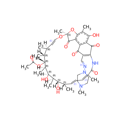 CC(=O)O[C@H]1[C@H](C)[C@H](O)[C@H](C)[C@@H](O)[C@@H](C)/C=C/C=C(/C)C(=O)NC2=C(/C=N/N3CCN(C)CC3)C(=O)c3c(c(O)c(C)c4c3C(=O)[C@@](C)(O/C=C/[C@H](C)[C@H]1C)O4)C2=O